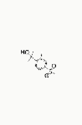 Cc1cc(S(C)(=O)=O)ccc1C(C)(C)O